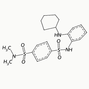 CN(C)S(=O)(=O)c1ccc(S(=O)(=O)Nc2ccccc2NC2CCCCC2)cc1